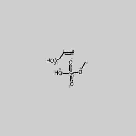 C=CC(=O)O.COS(=O)(=O)O